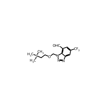 C[Si](C)(C)CCOCn1nnc2cc(C(F)(F)F)cc(C=O)c21